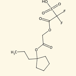 CCCC1(OC(=O)COC(=O)C(F)(F)S(=O)(=O)O)CCCC1